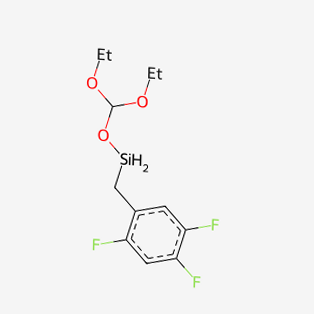 CCOC(OCC)O[SiH2]Cc1cc(F)c(F)cc1F